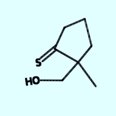 CC1(CO)CCCC1=S